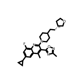 Cc1noc(-c2c(N3CCC(CC[C@@H]4CCOC4)CC3)nc3c(F)cc(C4CC4)cc3c2C)n1